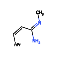 CCC/C=C\C(N)=N/C